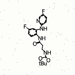 CC(C)(C)OC(=O)NCCC(=O)Nc1ccc(F)cc1Nc1ccc(F)cn1